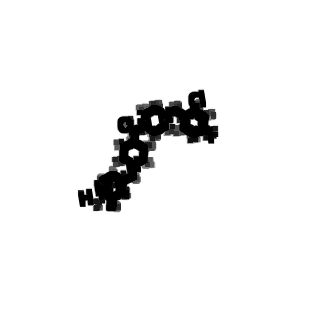 C=C(N)/C=C(\C=C/N)CN1CCC(C(=O)N2CCN(Cc3ccc(F)cc3Cl)CC2)CC1